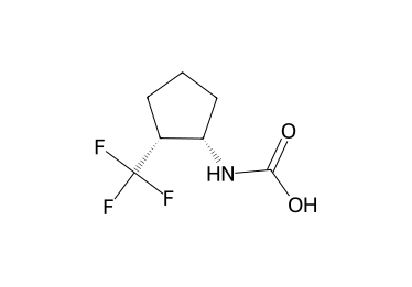 O=C(O)N[C@H]1CCC[C@H]1C(F)(F)F